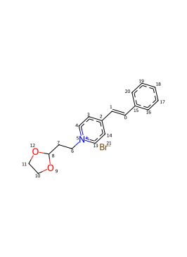 C(=C\c1cc[n+](CCC2OCCO2)cc1)/c1ccccc1.[Br-]